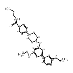 CCCNC(=O)c1ccc(N2CCN(Cc3cc(OCC)cc(-c4cccc(OCC)c4)c3)CC2)cc1